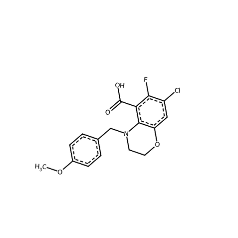 COc1ccc(CN2CCOc3cc(Cl)c(F)c(C(=O)O)c32)cc1